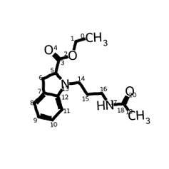 CCOC(=O)C1Cc2ccccc2N1CCCNC(C)=O